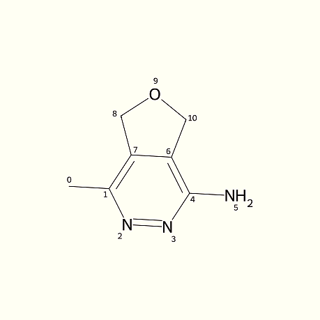 Cc1nnc(N)c2c1COC2